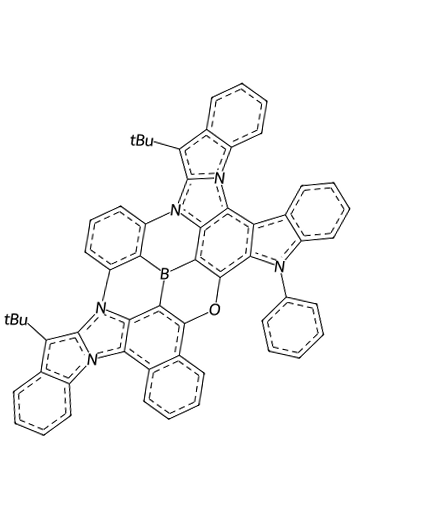 CC(C)(C)c1c2ccccc2n2c3c4ccccc4c4c5c3n(c12)-c1cccc2c1B5c1c(c3c(c5ccccc5n3-c3ccccc3)c3c1n-2c1c(C(C)(C)C)c2ccccc2n31)O4